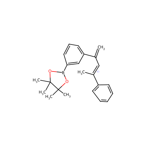 C=C(/C=C(\C)c1ccccc1)c1cccc(B2OC(C)(C)C(C)(C)O2)c1